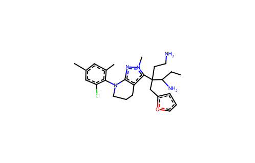 CCC(N)C(CCN)(Cc1ccco1)c1c2c(nn1C)N(c1c(C)cc(C)cc1Cl)CCC2